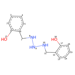 Oc1ccccc1CNNNCc1ccccc1O